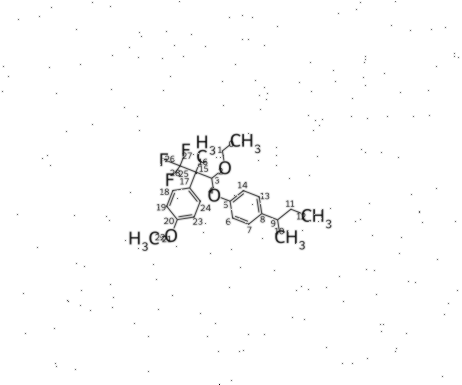 CCOC(Oc1ccc(C(C)CC)cc1)C(C)(c1ccc(OC)cc1)C(F)(F)F